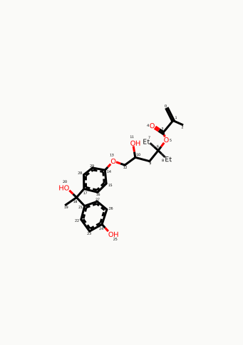 C=C(C)C(=O)OC(CC)(CC)CC(O)COc1ccc(C(C)(O)c2ccc(O)cc2)cc1